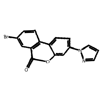 O=c1oc2cc(-n3cccn3)ccc2c2ccc(Br)cc12